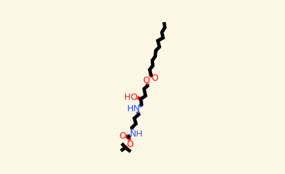 CCCCCCCCCCCC(=O)OCCCC(O)CNCCCCNC(=O)OC(C)(C)C